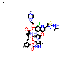 C=C[C@@H]1CC1(NC(=O)[C@@H]1C[C@@H](Oc2cc(-c3csc(NC(C)C)n3)nc3c(Cl)c(OCCN4CCN(C)CC4)ccc23)CN1C(=O)[C@@H](NC(=O)O[C@H]1CC[C@@H](C)C1)C(C)(C)C)C(=O)OC